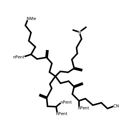 C=C(CCCCN(C)C)CCC(CCC(=C)CC(CCCCC)CCCCC)(CCC(=C)CC(CCCCC)CCCCC#N)CCC(=C)CC(CCCCC)CCCCNC